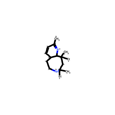 CCC1(C)CC(C)(CC)C2N=C(C)C=CC2CCN1